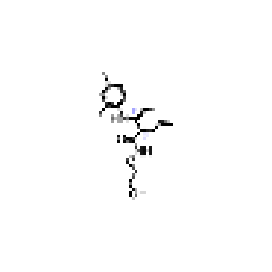 C=C/C=C(C(=O)NOCCO)\C(=C/C)Nc1ccc(C)cc1C